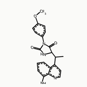 CC(c1ccnc2c(N)cccc12)C1NC(=O)N(c2ccc(OC(F)(F)F)cc2)C1=O